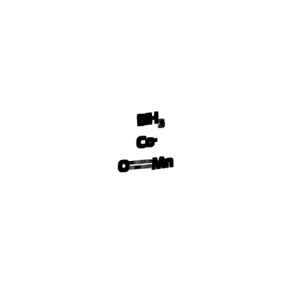 [BiH3].[Co].[O]=[Mn]